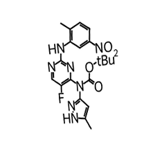 Cc1cc(N(C(=O)OC(C)(C)C)c2nc(Nc3cc([N+](=O)[O-])ccc3C)ncc2F)n[nH]1